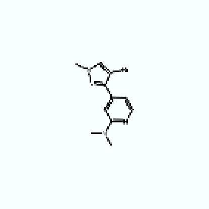 CN(C)c1cc(-c2nn(C)cc2Br)ccn1